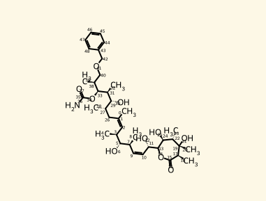 C/C(=C/[C@H](C)[C@@H](O)[C@@H](C)/C=C\[C@H](O)C1OC(=O)[C@H](C)[C@@](C)(O)[C@@H](C)[C@@H]1O)C[C@H](C)[C@@H](O)[C@H](C)[C@@H](OC(N)=O)[C@@H](C)COCc1ccccc1